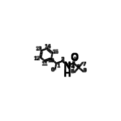 CC(CNC(=O)C(C)(C)C)c1ccccc1